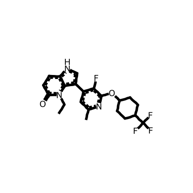 CCn1c(=O)ccc2[nH]cc(-c3cc(C)nc(OC4CCC(C(F)(F)F)CC4)c3F)c21